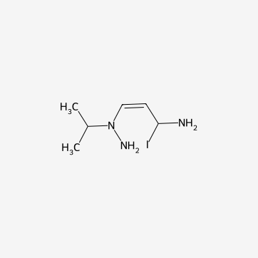 CC(C)N(N)/C=C\C(N)I